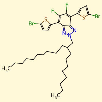 CCCCCCCCCCC(CCCCCCCC)Cn1nc2c(-c3ccc(Br)s3)c(F)c(F)c(-c3ccc(Br)s3)c2n1